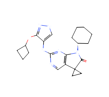 O=C1N([C@@H]2CCC[C@@H](O)C2)c2nc(Nc3c[nH]nc3OC3CCC3)ncc2C12CC2